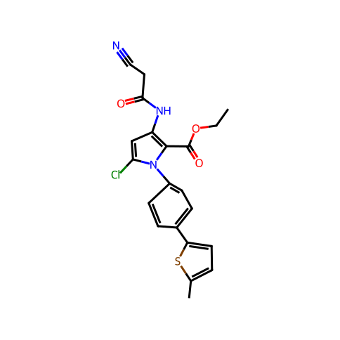 CCOC(=O)c1c(NC(=O)CC#N)cc(Cl)n1-c1ccc(-c2ccc(C)s2)cc1